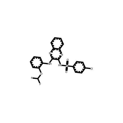 O=S(=O)(Nc1nc2ccccc2nc1Nc1ccccc1OC(F)F)c1ccc(Cl)cc1